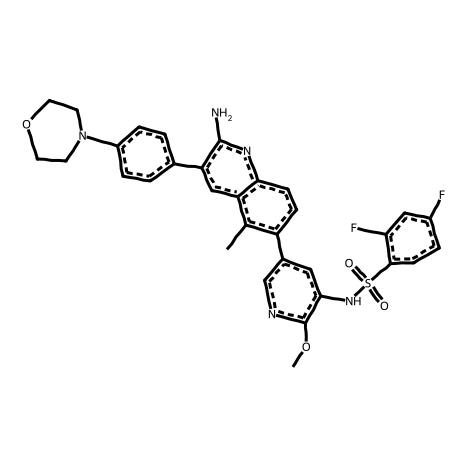 COc1ncc(-c2ccc3nc(N)c(-c4ccc(N5CCOCC5)cc4)cc3c2C)cc1NS(=O)(=O)c1ccc(F)cc1F